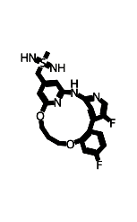 CS(=N)(=N)Cc1cc2nc(c1)OCCCOc1cc(F)ccc1-c1cc(ncc1F)N2